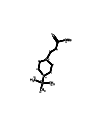 COC(=O)CCN1CCN([Si](C)(C)C)CC1